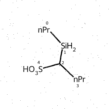 CCC[SiH2][C](CCC)S(=O)(=O)O